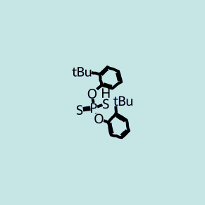 CC(C)(C)c1ccccc1OP(=S)(S)Oc1ccccc1C(C)(C)C